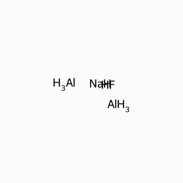 F.[AlH3].[AlH3].[NaH]